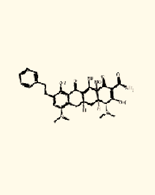 CN(C)c1cc(CCc2ccccc2)c(O)c2c1C[C@H]1C[C@H]3[C@H](N(C)C)C(O)=C(C(N)=O)C(=O)[C@@]3(N=O)C(O)=C1C2=O